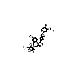 Cc1cc(N2CC3(CC(c4nnc5n4-c4ccc(Cl)cc4CN(C4(C(=O)N(C)C)CC4)C5)C3)C2)ncc1F